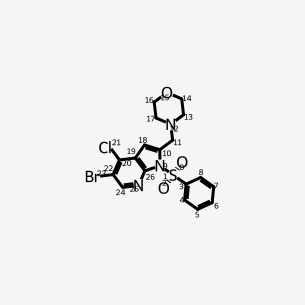 O=S(=O)(c1ccccc1)n1c(CN2CCOCC2)cc2c(Cl)c(Br)cnc21